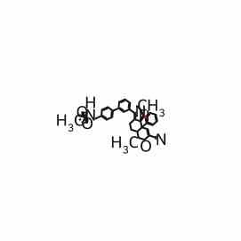 CC1C(=O)C(C#N)=CC2(c3ccccc3)c3nn(C)c(-c4cccc(-c5ccc(CNS(C)(=O)=O)cc5)c4)c3CCC12